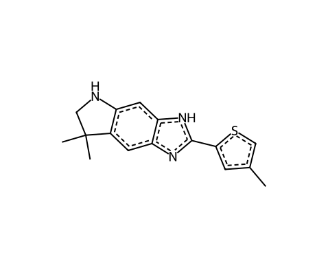 Cc1csc(-c2nc3cc4c(cc3[nH]2)NCC4(C)C)c1